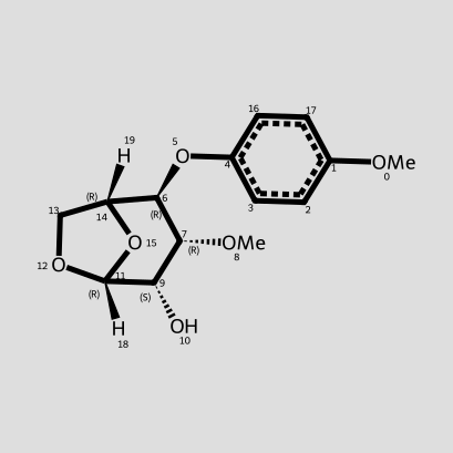 COc1ccc(O[C@H]2[C@H](OC)[C@H](O)[C@@H]3OC[C@H]2O3)cc1